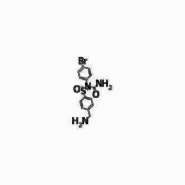 NCc1ccc([S+]([O-])N(C(N)=O)c2ccc(Br)cc2)cc1